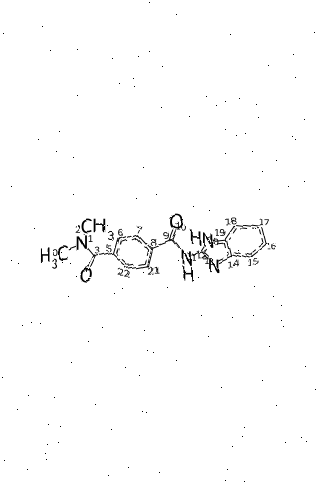 CN(C)C(=O)c1ccc(C(=O)Nc2nc3ccccc3[nH]2)cc1